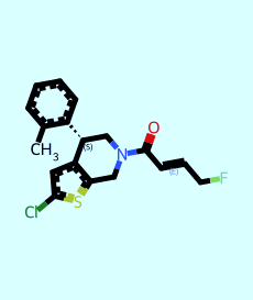 Cc1ccccc1[C@@H]1CN(C(=O)/C=C/CF)Cc2sc(Cl)cc21